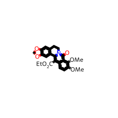 CCOC(=O)c1c2n(c(=O)c3c(OC)c(OC)ccc13)CCc1cc3c(cc1-2)OCO3